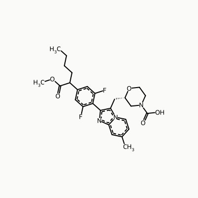 CCCCC(C(=O)OC)c1cc(F)c(-c2nc3cc(C)ccn3c2C[C@H]2CN(C(=O)O)CCO2)c(F)c1